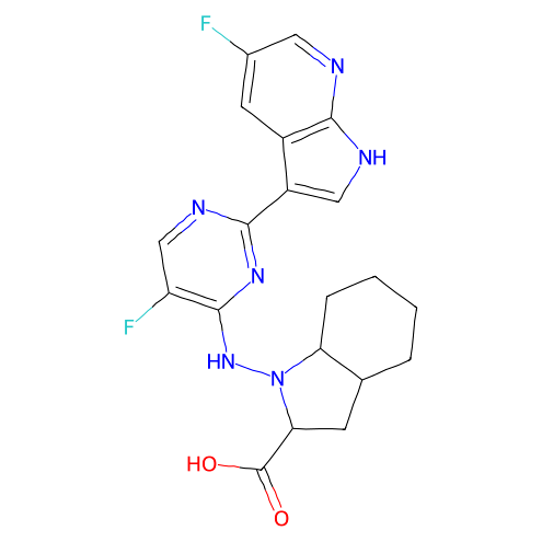 O=C(O)C1CC2CCCCC2N1Nc1nc(-c2c[nH]c3ncc(F)cc23)ncc1F